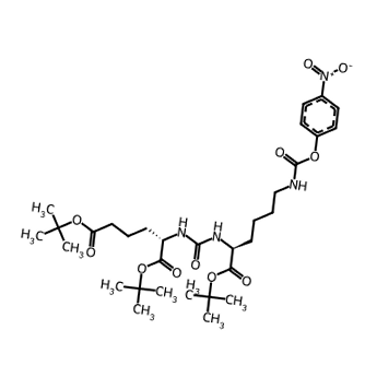 CC(C)(C)OC(=O)CCC[C@H](NC(=O)N[C@@H](CCCCNC(=O)Oc1ccc([N+](=O)[O-])cc1)C(=O)OC(C)(C)C)C(=O)OC(C)(C)C